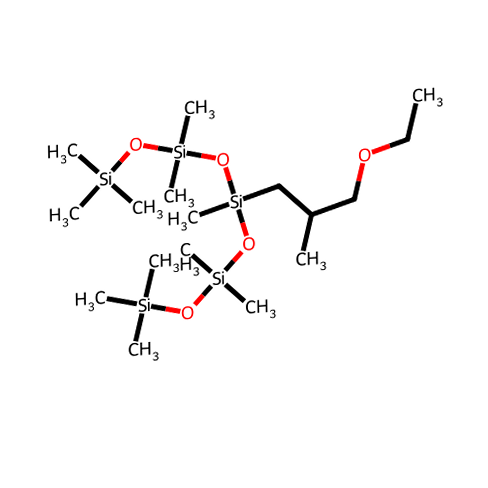 CCOCC(C)C[Si](C)(O[Si](C)(C)O[Si](C)(C)C)O[Si](C)(C)O[Si](C)(C)C